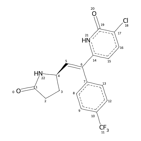 O=C1CC[C@H](/C=C(\c2ccc(C(F)(F)F)cc2)c2ccc(Cl)c(=O)[nH]2)N1